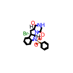 O=C1NCC(=O)N2[C@H]1C[C@]1(Br)c3ccccc3N(S(=O)(=O)c3ccccc3)[C@H]21